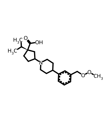 COOCc1cccc(C2CCN(C3CC[C@@](C(=O)O)(C(C)C)C3)CC2)c1